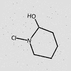 OC1CCCCN1Cl